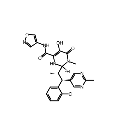 [2H]C1([C@@H](C)[C@@H](c2cnc(C)nc2)c2ccccc2Cl)NC(C(=O)Nc2cnoc2)=C(O)C(=O)N1C